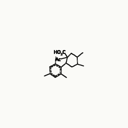 CC(=O)C1(C(=O)O)CC(C)C(C)CC1c1c(C)cc(C)cc1C